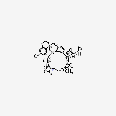 CO[C@H]1/C=C/COC(C)(C)C(=O)N=[S@@](=O)(NC(=O)NC2CC2)c2ccc3c(c2)N(C[C@@H]2CC[C@H]21)C[C@@]1(CCCc2cc(Cl)ccc21)CO3